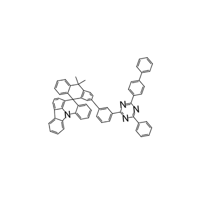 CC1(C)c2ccccc2C2(c3ccccc3-n3c4ccccc4c4cccc2c43)c2cc(-c3cccc(-c4nc(-c5ccccc5)nc(-c5ccc(-c6ccccc6)cc5)n4)c3)ccc21